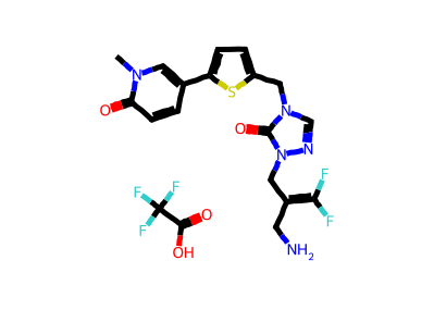 Cn1cc(-c2ccc(Cn3cnn(CC(CN)=C(F)F)c3=O)s2)ccc1=O.O=C(O)C(F)(F)F